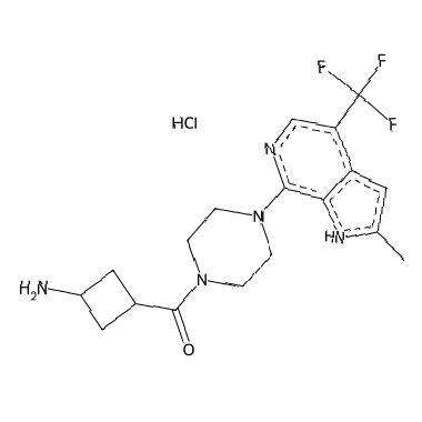 Cc1cc2c(C(F)(F)F)cnc(N3CCN(C(=O)C4CC(N)C4)CC3)c2[nH]1.Cl